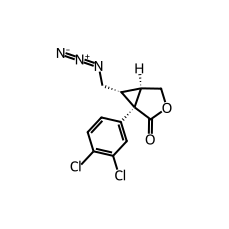 [N-]=[N+]=NC[C@@H]1[C@H]2COC(=O)[C@@]12c1ccc(Cl)c(Cl)c1